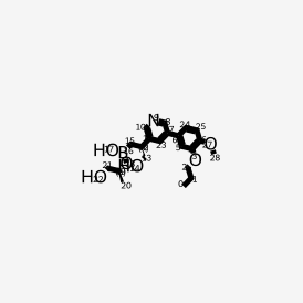 CCCOc1cc(-c2cncc([C@H](CO)CB(O)O[C@@H](C)CO)c2)ccc1OC